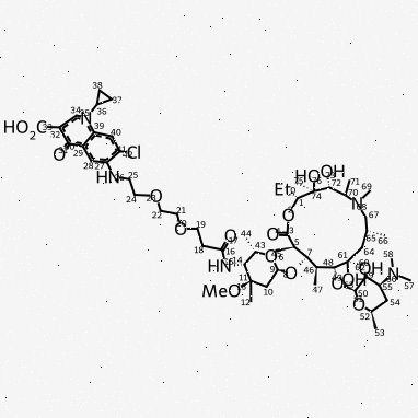 CC[C@H]1OC(=O)[C@H](C)[C@@H](O[C@H]2C[C@@](C)(OC)[C@H](NC(=O)CCOCCOCCNc3cc4c(=O)c(C(=O)O)cn(C5CC5)c4cc3Cl)[C@H](C)O2)[C@H](C)[C@@H](O[C@@H]2O[C@H](C)C[C@H](N(C)C)[C@H]2O)[C@](C)(O)C[C@@H](C)CN(C)C(C)[C@@H](O)[C@]1(C)O